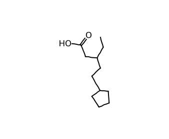 CCC(CCC1CCCC1)CC(=O)O